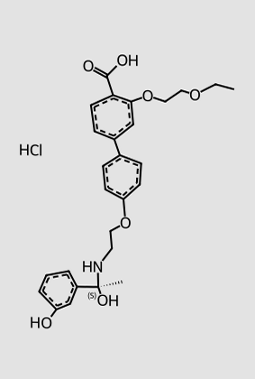 CCOCCOc1cc(-c2ccc(OCCN[C@@](C)(O)c3cccc(O)c3)cc2)ccc1C(=O)O.Cl